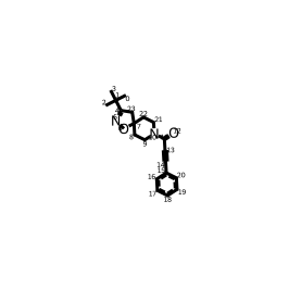 CC(C)(C)C1=NOC2(CCN(C(=O)C#Cc3ccccc3)CC2)C1